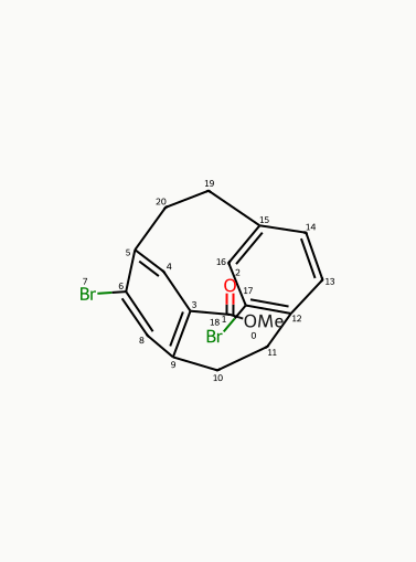 COC(=O)c1cc2c(Br)cc1CCc1ccc(cc1Br)CC2